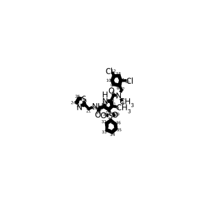 Cc1c(C(=O)N(C)Cc2ccc(Cl)cc2Cl)[nH]c(C(=O)NCc2nccs2)c1S(=O)(=O)c1ccccc1